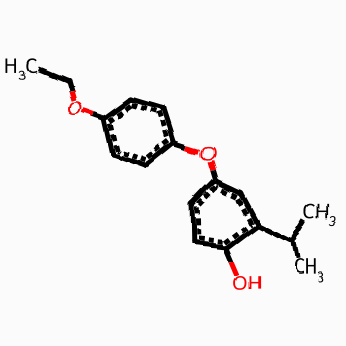 CCOc1ccc(Oc2ccc(O)c(C(C)C)c2)cc1